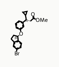 COC(=O)C[C@H](c1cccc(O[C@@H]2CCc3cc(Br)ccc32)c1)C1CC1